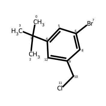 CC(C)(C)c1cc(Br)cc(CCl)c1